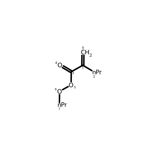 C=C(CCC)C(=O)OOCCC